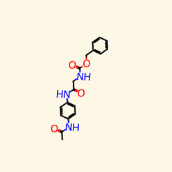 CC(=O)Nc1ccc(NC(=O)CNC(=O)OCc2ccccc2)cc1